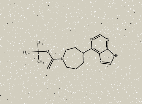 CC(C)(C)OC(=O)N1CCCN(c2ncnc3[nH]ccc23)CC1